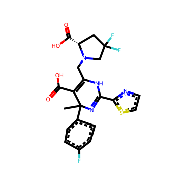 CC1(c2ccc(F)cc2)N=C(c2nccs2)NC(CN2CC(F)(F)C[C@H]2C(=O)O)=C1C(=O)O